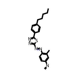 C=Nc1ccc(/N=N/c2nnc(-c3ccc(CCCCC)cc3)s2)c(C)c1